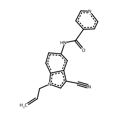 C=CCn1cc(C#N)c2cc(NC(=O)c3ccncc3)ccc21